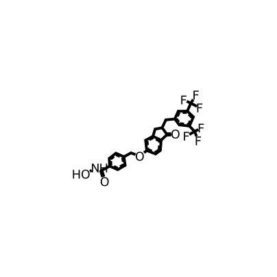 O=C(NO)c1ccc(COc2ccc3c(c2)CC(Cc2cc(C(F)(F)F)cc(C(F)(F)F)c2)C3=O)cc1